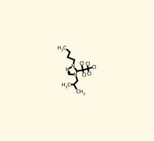 CCCCN1N=CN(CC(C)C)C1C(Cl)(Cl)C(Cl)(Cl)Cl